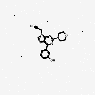 C#CCn1cnc2c(-c3cccc(O)c3)nc(N3CCOCC3)nc21